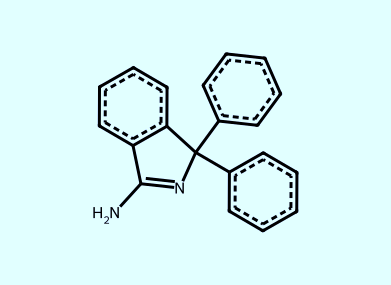 NC1=NC(c2ccccc2)(c2ccccc2)c2ccccc21